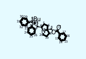 CC(C)(C)[Si](OC[C@H]1CC[C@]2(COC(=O)c3ccccc3)CCCN12)(c1ccccc1)c1ccccc1